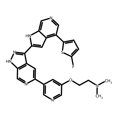 CN(C)CCOc1cncc(-c2cc3c(-c4cc5c(-c6ccc(F)s6)cncc5[nH]4)n[nH]c3cn2)c1